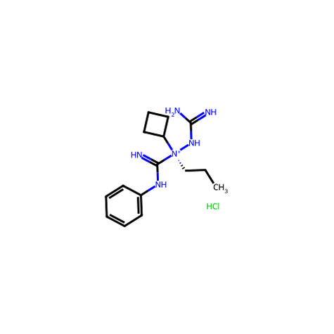 CCC[N@+](NC(=N)N)(C(=N)Nc1ccccc1)C1CCC1.Cl